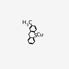 Cc1ccc2c(c1)Cc1ccccc1S2.[Cu]